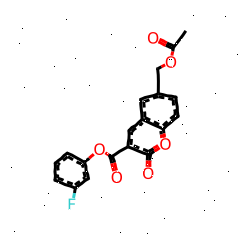 CC(=O)OCc1ccc2oc(=O)c(C(=O)Oc3cccc(F)c3)cc2c1